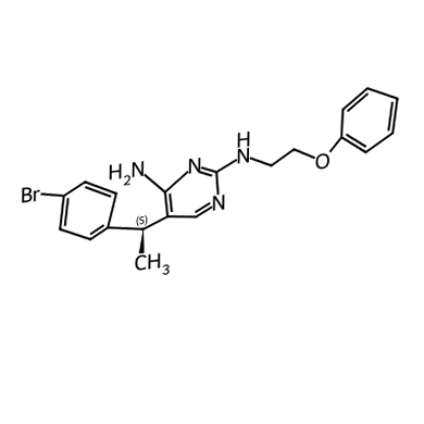 C[C@@H](c1ccc(Br)cc1)c1cnc(NCCOc2ccccc2)nc1N